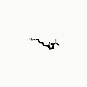 CCCCCCCCCCc1ccc(NI)s1